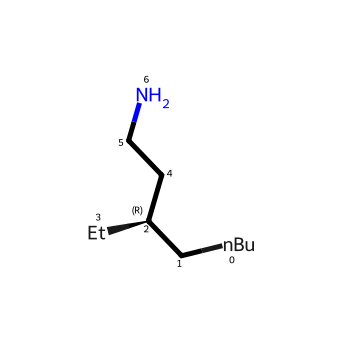 CCCCC[C@@H](CC)CCN